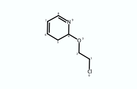 ClCCOC1CC=CC=N1